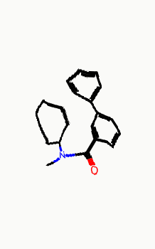 CN(C(=O)c1cccc(-c2ccccc2)c1)C1CCCCC1